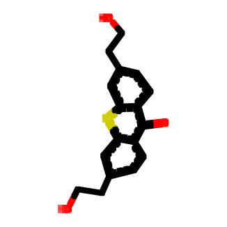 O=c1c2ccc(CCO)cc2sc2cc(CCO)ccc12